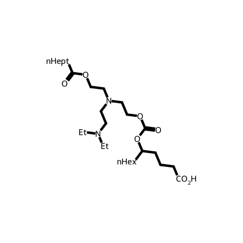 CCCCCCCC(=O)OCCN(CCOC(=O)OC(CCCCCC)CCCC(=O)O)CCN(CC)CC